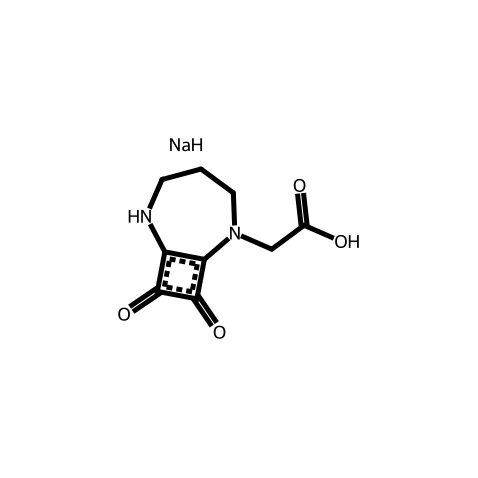 O=C(O)CN1CCCNc2c1c(=O)c2=O.[NaH]